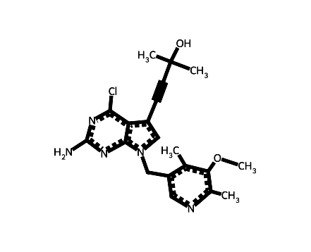 COc1c(C)ncc(Cn2cc(C#CC(C)(C)O)c3c(Cl)nc(N)nc32)c1C